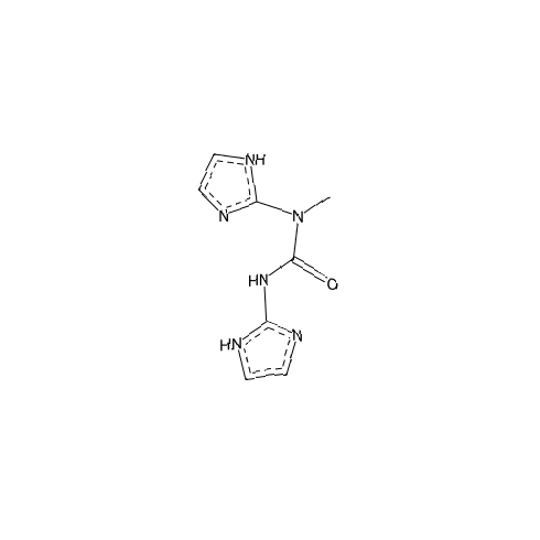 CN(C(=O)Nc1ncc[nH]1)c1ncc[nH]1